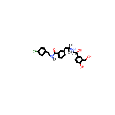 CCN(CCc1ccc(Cl)cc1)C(=O)c1cccc(CC(C)(C)NC[C@@H](O)c2ccc(O)c(CO)c2)c1